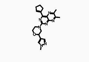 Cc1nc2nc(N3CCOC(c4cnn(C)c4)C3)nc(C3=CCCC3)c2nc1C